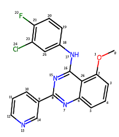 COc1cccc2nc(-c3cccnc3)nc(Nc3ccc(F)c(Cl)c3)c12